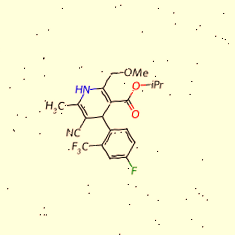 COCC1=C(C(=O)OC(C)C)C(c2ccc(F)cc2C(F)(F)F)C(C#N)=C(C)N1